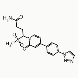 CS(=O)(=O)C(CCC(N)=O)n1ccc(-c2ccc(-n3ccnn3)cc2)cc1=O